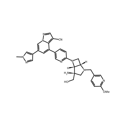 COc1ccc(CN2C[C@](N)(CO)[C@H]3[C@@H]2CN3c2ccc(-c3cc(-c4cnn(C)c4)cn4ncc(C#N)c34)cn2)cn1